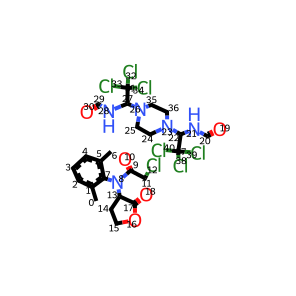 Cc1cccc(C)c1N(C(=O)CCl)C1CCOC1=O.O=CNC(N1CCN(C(NC=O)C(Cl)(Cl)Cl)CC1)C(Cl)(Cl)Cl